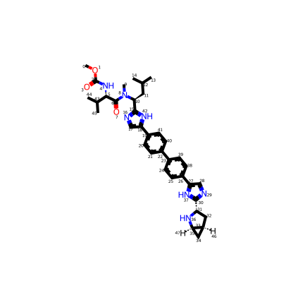 COC(=O)N[C@H](C(=O)N(C)[C@@H](CC(C)C)c1ncc(-c2ccc(-c3ccc(-c4cnc([C@@H]5C[C@H]6C[C@H]6N5)[nH]4)cc3)cc2)[nH]1)C(C)C